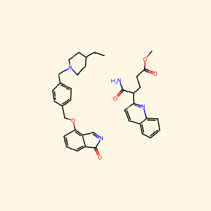 CCC1CCN(Cc2ccc(COc3cccc4c3C=NC4=O)cc2)CC1.COC(=O)CCC(C(N)=O)c1ccc2ccccc2n1